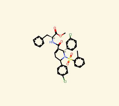 COC(=O)[C@H](Cc1ccccc1)NC(=O)C1=CCC(c2ccc(Cl)cc2)N(S(=O)(=O)c2ccccc2C)[C@H]1c1cccc(Cl)c1